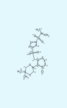 CN(C)S(=O)(=O)c1csc(S(=O)(=O)Cc2cccc(Cl)c2N2CCC(C)(C)CC2)c1